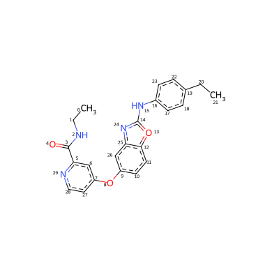 CCNC(=O)c1cc(Oc2ccc3oc(Nc4ccc(CC)cc4)nc3c2)ccn1